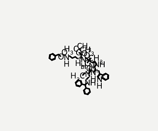 CCN(CCNC(c1ccccc1)C1C=CC=CC1)C(=O)N[C@H](Cc1c[nH]c2ccccc12)c1nc(C(C)(C)C(=O)N[C@H](CCCCNC(=O)OCc2ccccc2)C(=O)OC(C)(C)C)c[nH]1